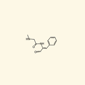 CNCC(=O)NC([C]=O)=Cc1ccccc1